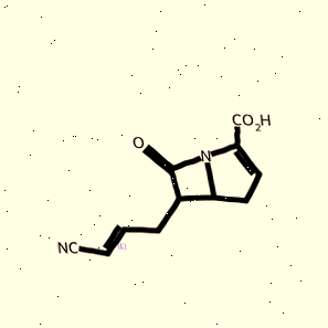 N#C/C=C/CC1C(=O)N2C(C(=O)O)=CCC12